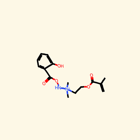 C=C(C)C(=O)OCC[N+](C)(C)NOC(=O)c1ccccc1O